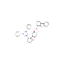 c1ccc(-c2nc(-c3ccccc3)nc(-c3cccc4oc5cc6nc(-c7cccc8c7sc7ccccc78)oc6cc5c34)n2)cc1